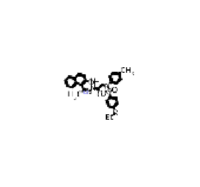 CCOc1ccc(S(=O)(=O)N(CC(=O)N/N=C(/C)c2c(O)ccc3ccccc23)c2ccc(C)cc2)cc1